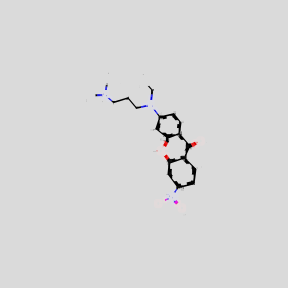 CCN(CCCN(C)C)c1ccc2c(=O)c3ccc([N+](=O)[O-])cc3oc2c1